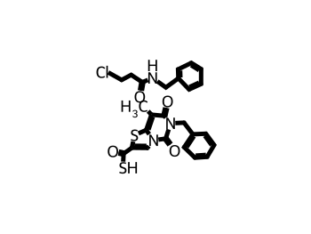 Cc1c(=O)n(Cc2ccccc2)c(=O)n2cc(C(=O)S)sc12.O=C(CCCl)NCc1ccccc1